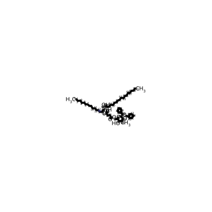 CCCCCCCCCCCCC/C=C/[C@@H](OC(=O)CCC(=O)OCC1O[C@@H](Sc2ccccc2)C(OC(=O)c2ccccc2)[C@@H](C)[C@@H]1O)[C@H](CO)NC(=O)CCCCCCCCCCCCCCCCC